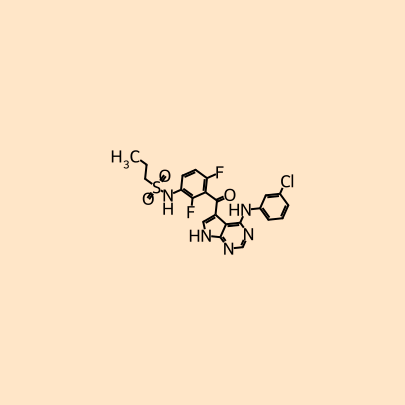 CCCS(=O)(=O)Nc1ccc(F)c(C(=O)c2c[nH]c3ncnc(Nc4cccc(Cl)c4)c23)c1F